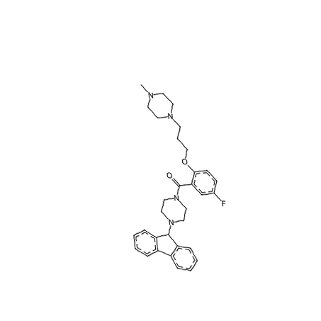 CN1CCN(CCCOc2ccc(F)cc2C(=O)N2CCN(C3c4ccccc4-c4ccccc43)CC2)CC1